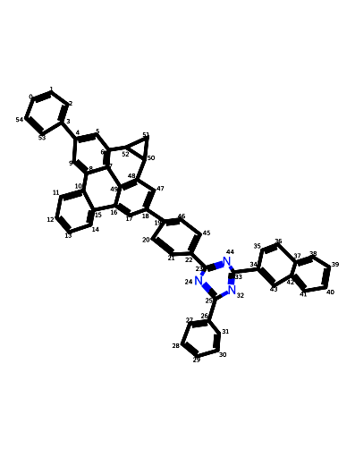 c1ccc(-c2cc3c4c(c2)c2ccccc2c2cc(-c5ccc(-c6nc(-c7ccccc7)nc(-c7ccc8ccccc8c7)n6)cc5)cc(c24)C2CC32)cc1